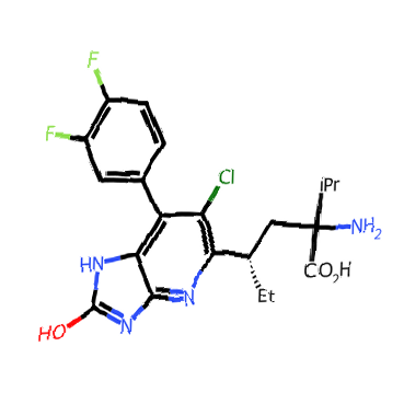 CC[C@@H](CC(N)(C(=O)O)C(C)C)c1nc2nc(O)[nH]c2c(-c2ccc(F)c(F)c2)c1Cl